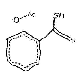 CC([O])=O.S=C(S)c1ccccc1